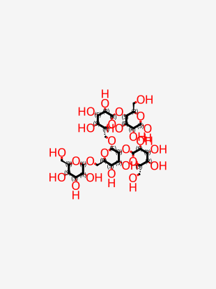 OC[C@@H]1OC(O[C@H]2[C@@H](OC[C@H]3O[C@H](O[C@H]4[C@H](O)[C@@H](O)[C@@H](O)O[C@@H]4CO)[C@H](O)[C@@H](O)[C@@H]3O)O[C@H](CO[C@H]3O[C@H](CO)[C@@H](O)[C@H](O)[C@H]3O)[C@@H](O)[C@@H]2O)[C@@H](O)[C@H](O)[C@H]1O